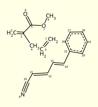 C=C.C=C(C)C(=O)OC.N#CC=CC=Cc1ccccc1